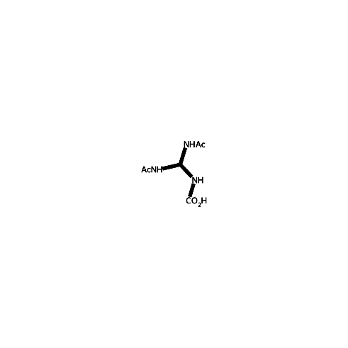 CC(=O)NC(NC(C)=O)NC(=O)O